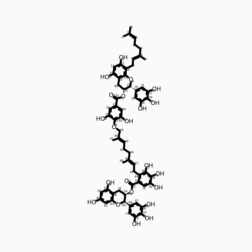 CC(C)=CCC/C(C)=C/Cc1c(O)cc(O)c2c1O[C@H](c1cc(O)c(O)c(O)c1)[C@H](OC(=O)c1cc(O)c(OC/C(C)=C/CC/C(C)=C/Cc3c(C(=O)O[C@@H]4Cc5c(O)cc(O)cc5O[C@@H]4c4cc(O)c(O)c(O)c4)cc(O)c(O)c3O)c(O)c1)C2